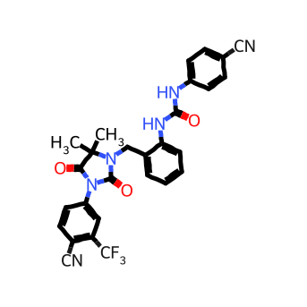 CC1(C)C(=O)N(c2ccc(C#N)c(C(F)(F)F)c2)C(=O)N1Cc1ccccc1NC(=O)Nc1ccc(C#N)cc1